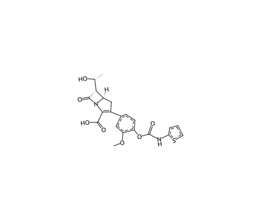 COc1cc(C2=C(C(=O)O)N3C(=O)[C@H]([C@@H](C)O)[C@H]3C2)ccc1OC(=O)Nc1cccs1